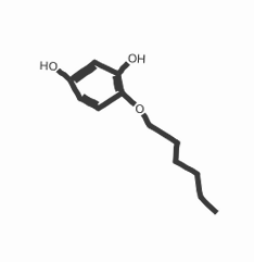 CCCCCCOc1ccc(O)cc1O